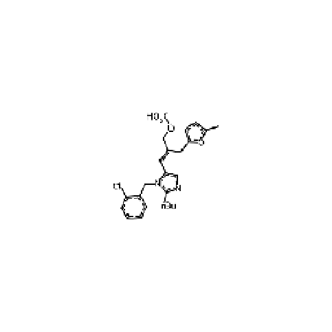 CCCCc1ncc(C=C(COC(=O)O)Cc2ccc(C)o2)n1Cc1ccccc1Cl